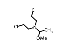 COC(C)N(CCCl)CCCl